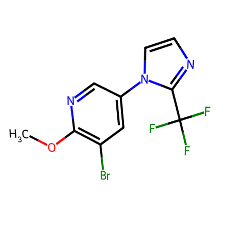 COc1ncc(-n2ccnc2C(F)(F)F)cc1Br